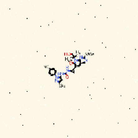 CNc1ncc2cc(C3CC3NC(=O)Nc3cc(C(C)(C)C)nn3-c3ccc(C#N)cc3)c(=O)n(C(C)(C)CO)c2n1